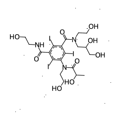 CC(O)C(=O)N(CCO)c1c(I)c(C(=O)NCCO)c(I)c(C(=O)N(CCO)CC(O)CO)c1I